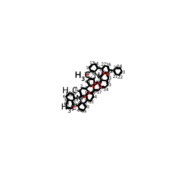 Cc1cc(-c2ccc(N(c3c(C)cccc3-c3ccc(-c4ccccc4)cc3)c3cccc4ccccc34)c(C)c2)ccc1N(c1c(C)cccc1-c1ccc(-c2ccccc2)cc1)c1cccc2ccccc12